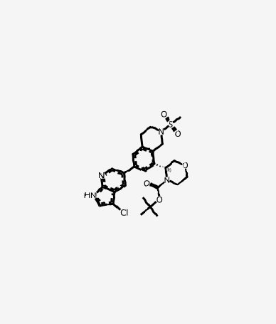 CC(C)(C)OC(=O)N1CCOC[C@H]1c1cc(-c2cnc3[nH]cc(Cl)c3c2)cc2c1CN(S(C)(=O)=O)CC2